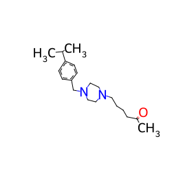 CC(=O)CCCCN1CCN(Cc2ccc(C(C)C)cc2)CC1